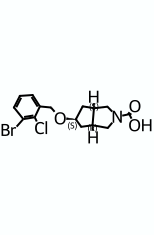 O=C(O)N1C[C@H]2C[C@H](OCc3cccc(Br)c3Cl)C[C@H]2C1